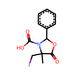 CC1(CI)C(=O)OC(c2ccccc2)N1C(=O)O